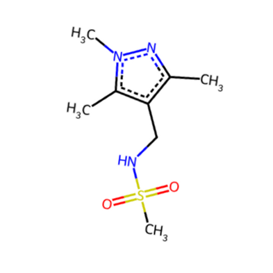 Cc1nn(C)c(C)c1CNS(C)(=O)=O